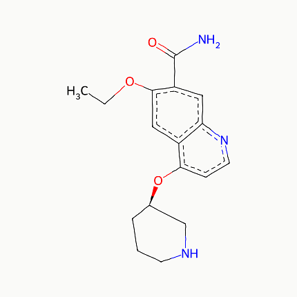 CCOc1cc2c(O[C@@H]3CCCNC3)ccnc2cc1C(N)=O